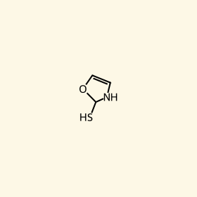 SC1NC=CO1